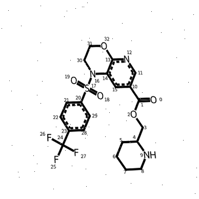 O=C(OCC1CCCCN1)c1cnc2c(c1)N(S(=O)(=O)c1ccc(C(F)(F)F)cc1)CCO2